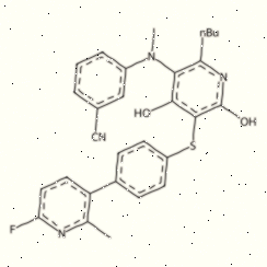 CCCCc1nc(O)c(Sc2ccc(-c3ccc(F)nc3C)cc2)c(O)c1N(C)c1cccc(C#N)c1